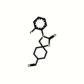 O=CC1CCC2(CC1)CN(c1ccccc1F)C(=O)O2